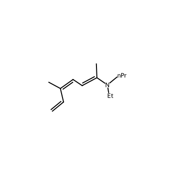 C=C/C(C)=C\C=C(/C)N(CC)CCC